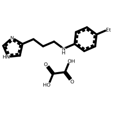 CCc1ccc(NCCCc2c[nH]cn2)cc1.O=C(O)C(=O)O